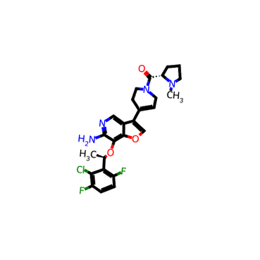 C[C@@H](Oc1c(N)ncc2c(C3=CCN(C(=O)[C@@H]4CCCN4C)CC3)coc12)c1c(F)ccc(F)c1Cl